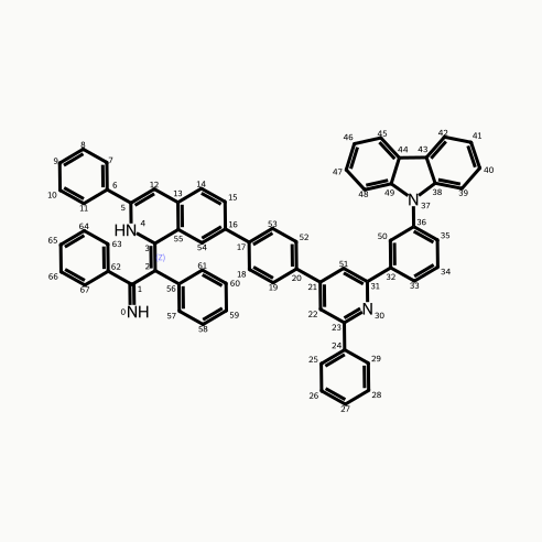 N=C(/C(=C1\NC(c2ccccc2)=Cc2ccc(-c3ccc(-c4cc(-c5ccccc5)nc(-c5cccc(-n6c7ccccc7c7ccccc76)c5)c4)cc3)cc21)c1ccccc1)c1ccccc1